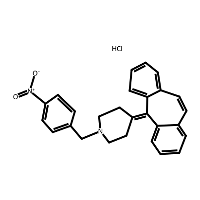 Cl.O=[N+]([O-])c1ccc(CN2CCC(=C3c4ccccc4C=Cc4ccccc43)CC2)cc1